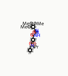 COc1cc(-c2nnc(NC(=O)c3ccc(S(=O)(=O)N(Cc4ccccc4)C(C)C)cc3)o2)cc(OC)c1OC